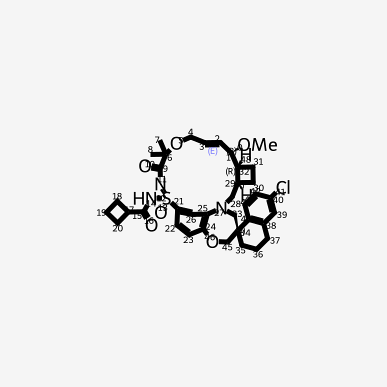 CO[C@H]1/C=C/COC(C)(C)C(=O)N=S(=O)(NC(=O)C2CCC2)c2ccc3c(c2)N(C[C@@H]2CC[C@H]21)C[C@@]1(CCCc2cc(Cl)ccc21)CO3